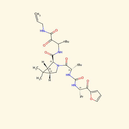 C=CCNC(=O)C(=O)C(CCCC)NC(=O)[C@@H]1[C@@H]2[C@H](CN1C(=O)[C@@H](NC(=O)N[C@H](C(=O)c1ccco1)C(C)C)C(C)(C)C)C2(C)C